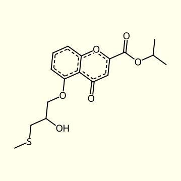 CSCC(O)COc1cccc2oc(C(=O)OC(C)C)cc(=O)c12